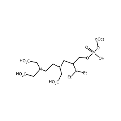 CCCCCCCCOP(=O)(O)OCC(CN(CCN(CC(=O)O)CC(=O)O)CC(=O)O)N(CC)CC